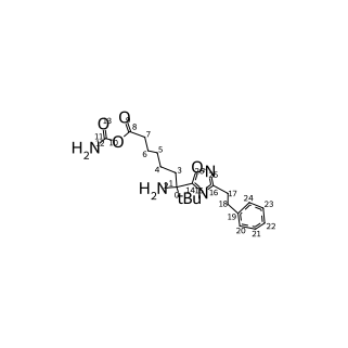 CC(C)(C)C(N)(CCCCCC(=O)OC(N)=O)c1nc(CCc2ccccc2)no1